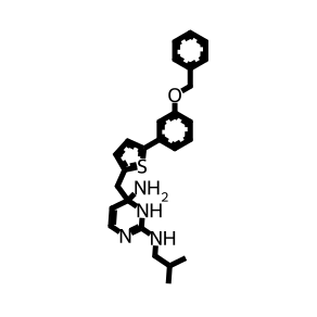 CC(C)CNC1=NC=CC(N)(Cc2ccc(-c3cccc(OCc4ccccc4)c3)s2)N1